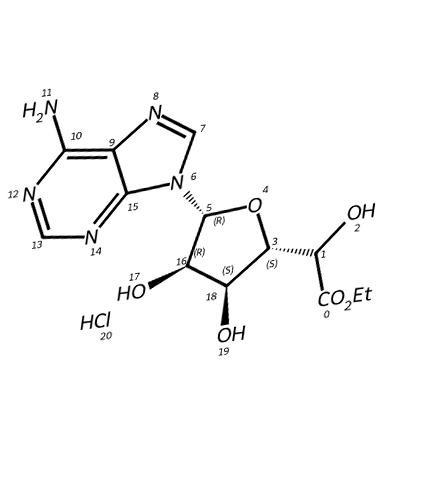 CCOC(=O)C(O)[C@H]1O[C@@H](n2cnc3c(N)ncnc32)[C@H](O)[C@@H]1O.Cl